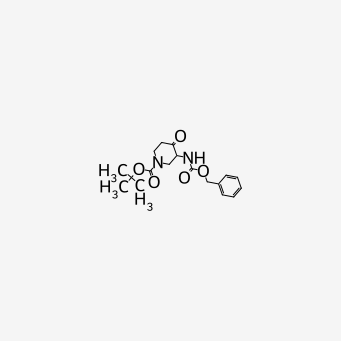 CC(C)(C)OC(=O)N1CCC(=O)C(NC(=O)OCc2ccccc2)C1